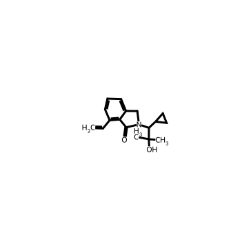 C=Cc1cccc2c1C(=O)N(C(C1CC1)C(C)(C)O)C2